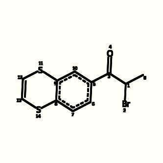 CC(Br)C(=O)c1ccc2c(c1)SC=CS2